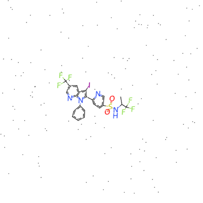 CC(NS(=O)(=O)c1ccc(-c2c(I)c3cc(C(F)(F)F)cnc3n2-c2ccccc2)nc1)C(F)(F)F